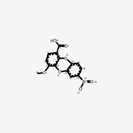 COc1ccc(C(=O)O)c2c1Oc1cc([N+](=O)[O-])ccc1O2